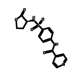 O=C(Nc1ccc(S(=O)(=O)N[C@H]2CCOC2=O)cc1)c1ccncc1